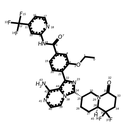 CCOc1cc(C(=O)Nc2cc(C(F)(F)F)ccn2)ccc1-c1nc([C@H]2CC[C@H]3N(C2)C(=O)CCC3(F)F)n2ccnc(N)c12